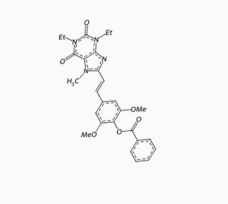 CCn1c(=O)c2c(nc(C=Cc3cc(OC)c(OC(=O)c4ccccc4)c(OC)c3)n2C)n(CC)c1=O